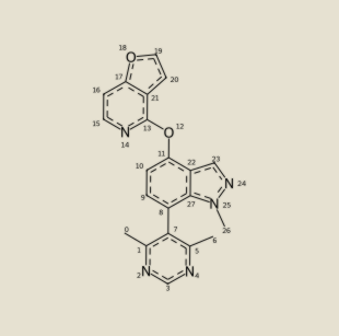 Cc1ncnc(C)c1-c1ccc(Oc2nccc3occc23)c2cnn(C)c12